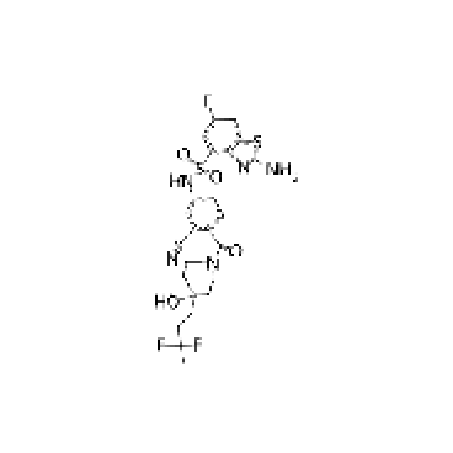 CC(F)(F)CCC1(O)CCN(C(=O)c2ccc(NS(=O)(=O)c3cc(F)cc4sc(N)nc34)cc2C#N)CC1